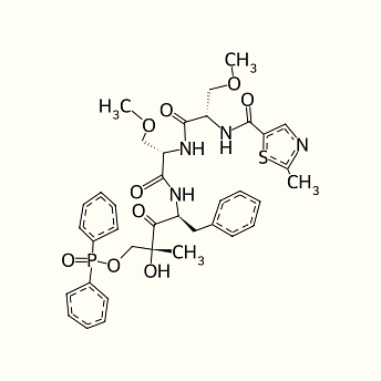 COC[C@H](NC(=O)c1cnc(C)s1)C(=O)N[C@@H](COC)C(=O)N[C@@H](Cc1ccccc1)C(=O)[C@](C)(O)COP(=O)(c1ccccc1)c1ccccc1